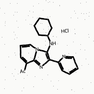 CC(=O)c1cccn2c(NC3CCCCC3)c(-c3ccccn3)nc12.Cl